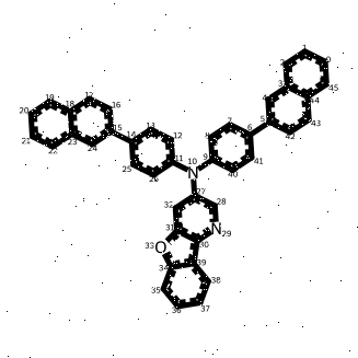 c1ccc2cc(-c3ccc(N(c4ccc(-c5ccc6ccccc6c5)cc4)c4cnc5c(c4)oc4ccccc45)cc3)ccc2c1